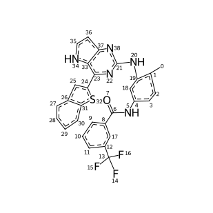 Cc1ccc(NC(=O)c2cccc(C(F)(F)F)c2)cc1Nc1nc(-c2cc3ccccc3s2)c2[nH]ccc2n1